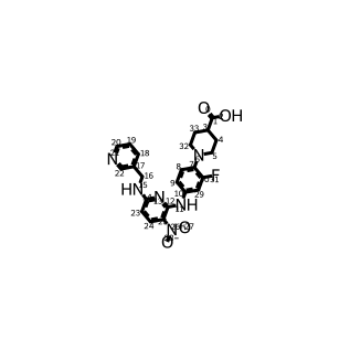 O=C(O)C1CCN(c2ccc(Nc3nc(NCc4cccnc4)ccc3[N+](=O)[O-])cc2F)CC1